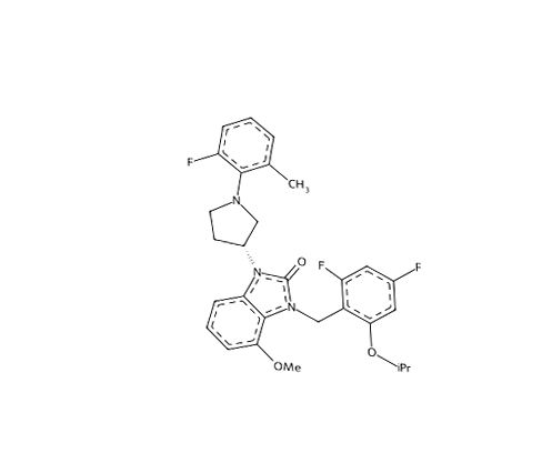 COc1cccc2c1n(Cc1c(F)cc(F)cc1OC(C)C)c(=O)n2[C@@H]1CCN(c2c(C)cccc2F)C1